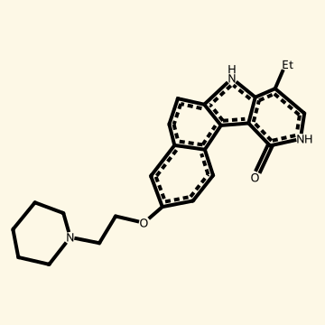 CCc1c[nH]c(=O)c2c1[nH]c1ccc3cc(OCCN4CCCCC4)ccc3c12